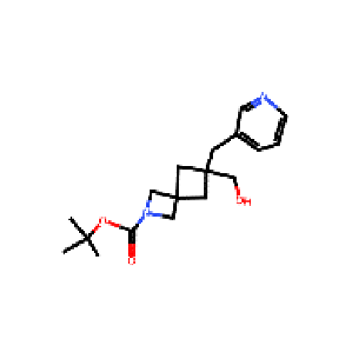 CC(C)(C)OC(=O)N1CC2(C1)CC(CO)(Cc1cccnc1)C2